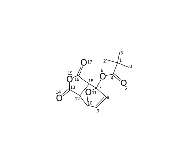 CC(C)(C)C(=O)OC12C=CC(O1)C1C(=O)OC(=O)C12